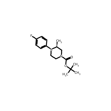 C[C@H]1CN(C(=O)OC(C)(C)C)CCN1c1ccc(F)cc1